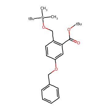 CC(C)(C)OC(=O)c1cc(OCc2ccccc2)ccc1CO[Si](C)(C)C(C)(C)C